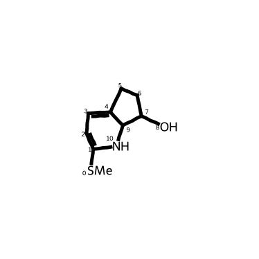 CSC1=CC=C2CCC(O)C2N1